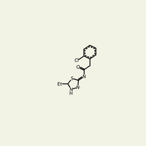 CCC1N[N]C(=NC(=O)Cc2ccccc2Cl)S1